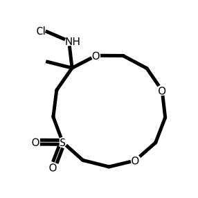 CC1(NCl)CCS(=O)(=O)CCOCCOCCO1